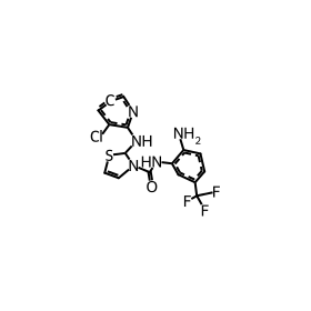 Nc1ccc(C(F)(F)F)cc1NC(=O)N1C=CSC1Nc1ncccc1Cl